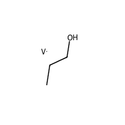 CCCO.[V]